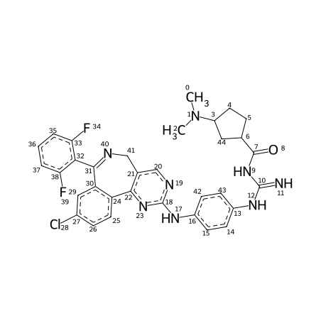 CN(C)C1CCC(C(=O)NC(=N)Nc2ccc(Nc3ncc4c(n3)-c3ccc(Cl)cc3C(c3c(F)cccc3F)=NC4)cc2)C1